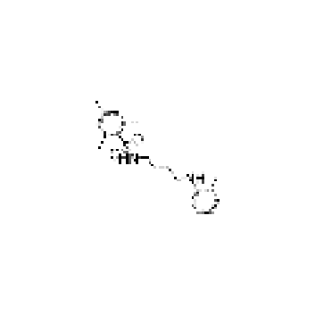 Cc1cc(C)c(S(=O)(=O)NCCCCNc2ccccc2C)c(C)c1